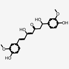 COc1cc(C=CC(O)=CC(=O)CC(O)c2ccc(O)c(OC)c2)ccc1O